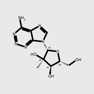 C[C@@]1(O)[C@H](O)[C@@H](CO)O[C@H]1n1cnc2c(N)nnnc21